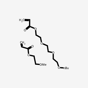 C=CC(=O)OCCOC.C=CC(=O)OCCOCCOCCOCCCC